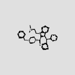 CN(C)CCn1c(C(=O)N2CCN(Cc3ccccc3)CC2)c(C(c2ccccc2)c2ccccc2)c2ccccc21